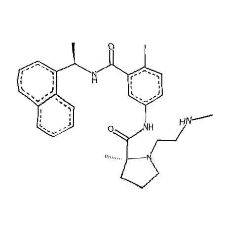 CNCCN1CCC[C@@]1(C)C(=O)Nc1ccc(C)c(C(=O)N[C@H](C)c2cccc3ccccc23)c1